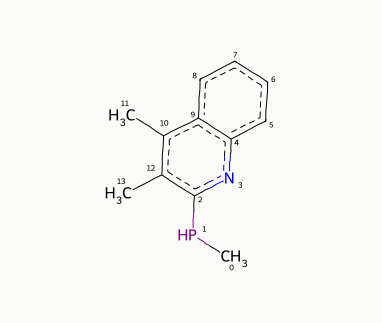 CPc1nc2ccccc2c(C)c1C